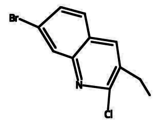 CCc1cc2ccc(Br)cc2nc1Cl